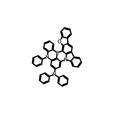 c1ccc(N(c2ccccc2)c2cc3c4c(c2)-n2c5ccccc5c5cc6c(oc7ccccc76)c(c52)B4c2ccccc2N3c2ccccc2)cc1